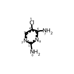 Nc1n[c]c(Cl)c(N)n1